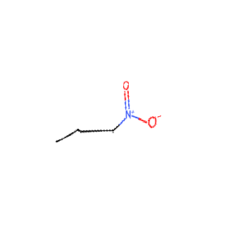 CC[CH][N+](=O)[O-]